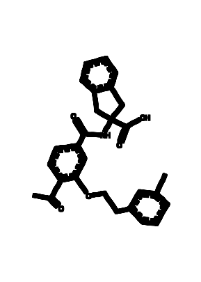 CC(=O)c1ccc(C(=O)NC2(C(=O)O)Cc3ccccc3C2)cc1OCCc1cccc(C)c1